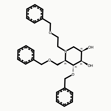 O[C@H]1[C@H](OCc2ccccc2)[C@@H](COCc2ccccc2)N(CCOCc2ccccc2)C[C@H]1O